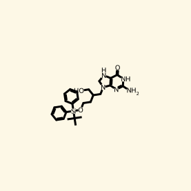 CC(C)(C)[Si](OCCC(CO)CN1CNc2c1nc(N)[nH]c2=O)(c1ccccc1)c1ccccc1